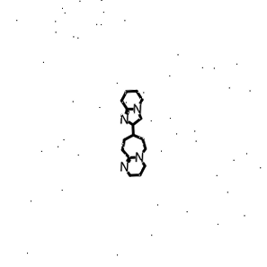 C1CCN2CC(C3CCC4=NCCCN4CC3)N=C2C1